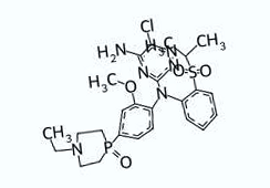 CCN1CCP(=O)(c2ccc(N(c3nnc(Cl)c(N)n3)c3ccccc3S(=O)(=O)C(C)C)c(OC)c2)CC1